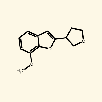 COc1cccc2cc(C3CCOC3)oc12